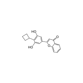 O=c1cc(-c2cc(O)c(C3CCC3)c(O)c2)oc2ccccc12